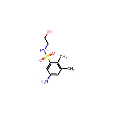 Cc1cc(N)cc(S(=O)(=O)NCCO)c1C